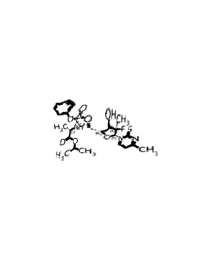 Cc1ccn([C@@H]2O[C@H](COP(=O)(N[C@@H](C)C(=O)OC(C)C)Oc3ccccc3)C(O)[C@@]2(C)F)c(=S)n1